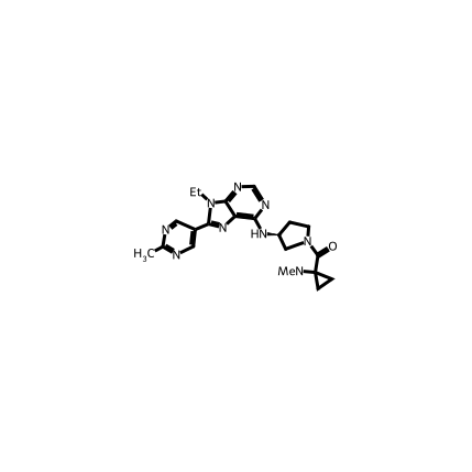 CCn1c(-c2cnc(C)nc2)nc2c(N[C@H]3CCN(C(=O)C4(NC)CC4)C3)ncnc21